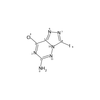 Nc1nc(Cl)c2nnc(I)n2n1